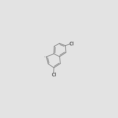 Clc1c[c]c2ccc(Cl)cc2c1